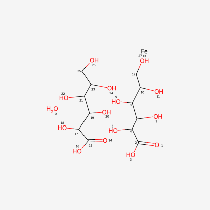 O.O=C(O)C(O)C(O)C(O)C(O)CO.O=C(O)C(O)C(O)C(O)C(O)CO.[Fe]